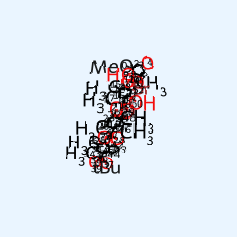 COC1=CC(=O)C=C(C)[C@]1(O)C(=O)Oc1c(C)c(C)c(C(=O)Oc2cc(C)c(C(=O)Oc3c(C)c(C)c(C(=O)OC(C)(C)C)c4c3CCC4)c(C)c2C)c(O)c1Br